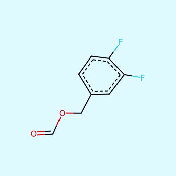 O=COCc1ccc(F)c(F)c1